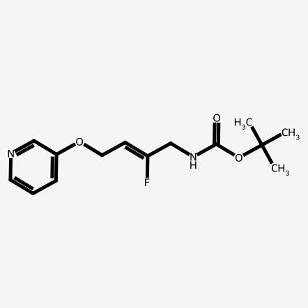 CC(C)(C)OC(=O)NC/C(F)=C/COc1cccnc1